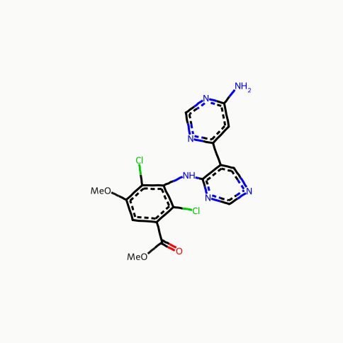 COC(=O)c1cc(OC)c(Cl)c(Nc2ncncc2-c2cc(N)ncn2)c1Cl